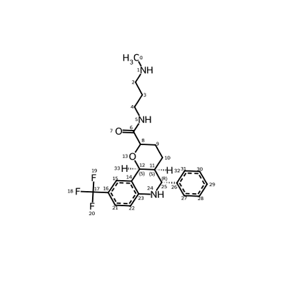 CNCCCNC(=O)C1CC[C@@H]2[C@H](O1)c1cc(C(F)(F)F)ccc1N[C@H]2c1ccccc1